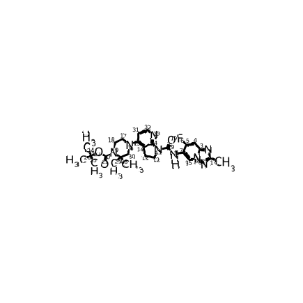 Cc1nc2cc(F)c(NC(=O)N3CCc4c(N5CCN(C(=O)OC(C)(C)C)C(C)(C)C5)ccnc43)cn2n1